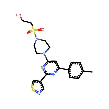 Cc1ccc(-c2cc(N3CCN(S(=O)(=O)CCO)CC3)nc(-c3cnsc3)n2)cc1